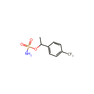 CC(OS(N)(=O)=O)c1ccc(C(F)(F)F)cc1